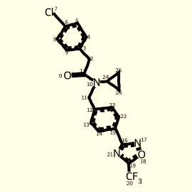 O=C(Cc1ccc(Cl)cc1)N(Cc1ccc(-c2noc(C(F)(F)F)n2)cc1)C1CC1